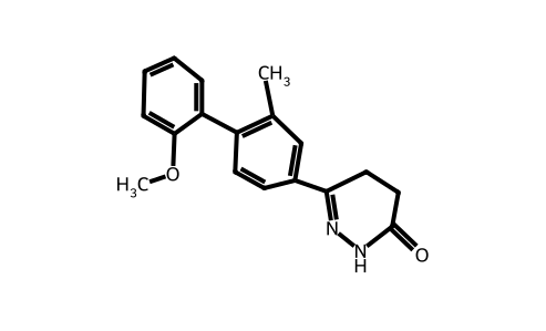 COc1ccccc1-c1ccc(C2=NNC(=O)CC2)cc1C